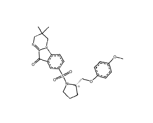 COc1ccc(OC[C@@H]2CCCN2S(=O)(=O)c2ccc3c(c2)C(=O)C2=NCC(C)(C)CN23)cc1